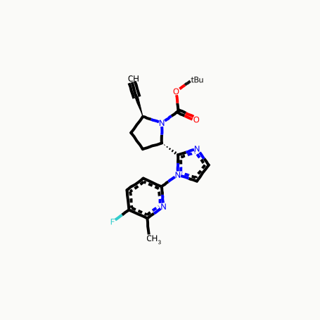 C#C[C@@H]1CC[C@@H](c2nccn2-c2ccc(F)c(C)n2)N1C(=O)OC(C)(C)C